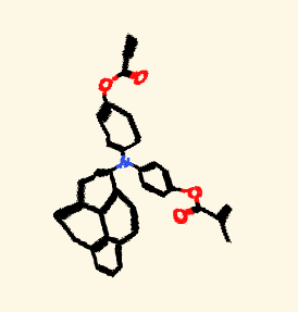 C=CC(=O)Oc1ccc(N(C2=CCC3=CCc4cccc5ccc2c3c45)c2ccc(OC(=O)C(=C)C)cc2)cc1